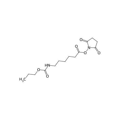 CCCOC(=O)NCCCCCC(=O)ON1C(=O)CCC1=O